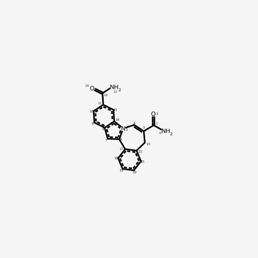 NC(=O)C1=Cn2c(cc3ccc(C(N)=O)cc32)-c2ccccc2C1